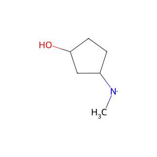 C[N]C1CCC(O)C1